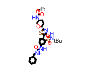 CC(C)OC(=O)NC1CC[C@H](c2ncc(-c3ccc(NC(=O)NCc4ccccc4)cc3S(=O)(=O)NC(C)(C)C)s2)OC1